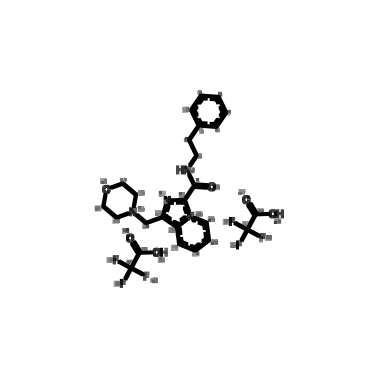 O=C(NCCc1ccccc1)c1nc(CN2CCOCC2)c2ccccn12.O=C(O)C(F)(F)F.O=C(O)C(F)(F)F